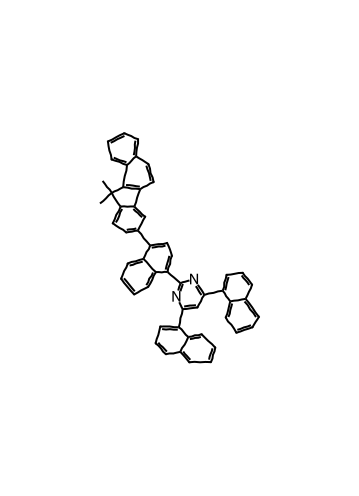 CC1(C)c2ccc(-c3ccc(-c4nc(-c5cccc6ccccc56)cc(-c5cccc6ccccc56)n4)c4ccccc34)cc2-c2ccc3ccccc3c21